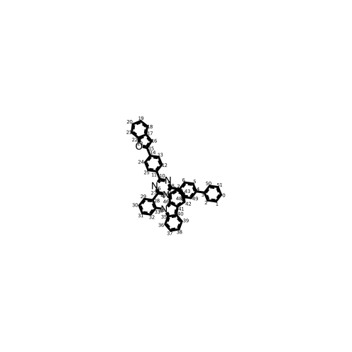 c1ccc(-c2ccc(-c3nc(-c4ccc(-c5cc6ccccc6o5)cc4)nc(-c4ccccc4-n4c5ccccc5c5ccccc54)n3)cc2)cc1